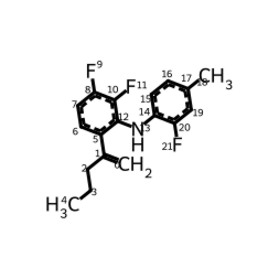 C=C(CCC)c1ccc(F)c(F)c1Nc1ccc(C)cc1F